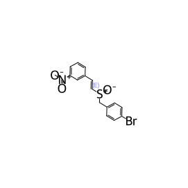 O=[N+]([O-])c1cccc(/C=C/[S+]([O-])Cc2ccc(Br)cc2)c1